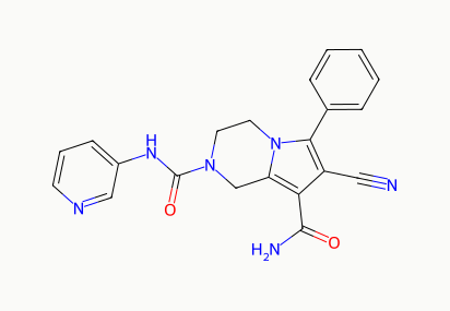 N#Cc1c(C(N)=O)c2n(c1-c1ccccc1)CCN(C(=O)Nc1cccnc1)C2